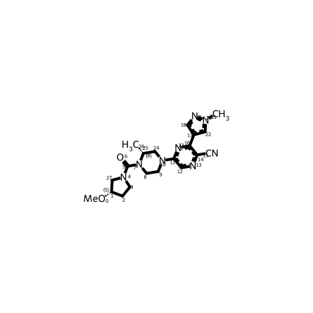 CO[C@H]1CCN(C(=O)N2CCN(c3cnc(C#N)c(-c4cnn(C)c4)n3)C[C@H]2C)C1